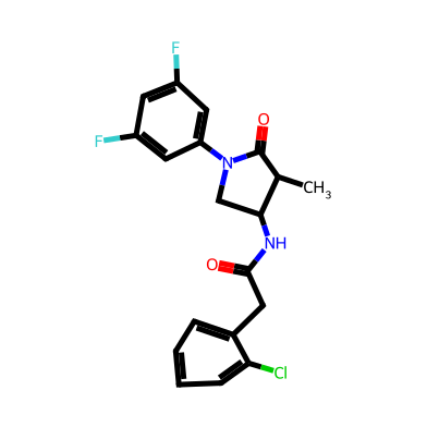 CC1C(=O)N(c2cc(F)cc(F)c2)CC1NC(=O)Cc1ccccc1Cl